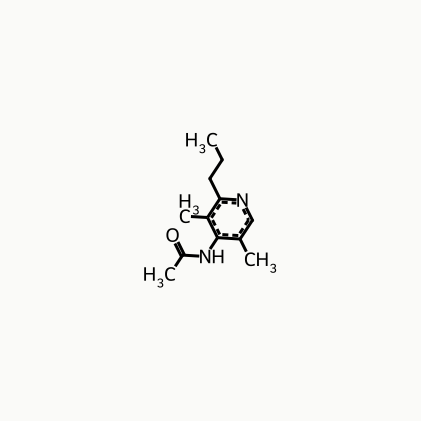 CCCc1ncc(C)c(NC(C)=O)c1C